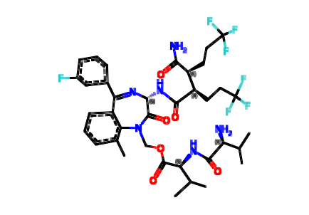 Cc1cccc2c1N(COC(=O)[C@@H](NC(=O)[C@@H](N)C(C)C)C(C)C)C(=O)[C@@H](NC(=O)[C@H](CCC(F)(F)F)[C@H](CCC(F)(F)F)C(N)=O)N=C2c1cccc(F)c1